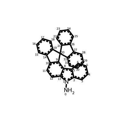 Nn1c2ccccc2c2c3c(ccc21)-c1ccccc1C31c2ccccc2-c2ccccc21